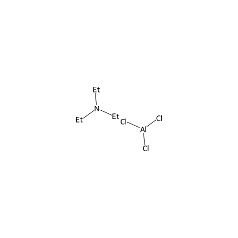 CCN(CC)CC.[Cl][Al]([Cl])[Cl]